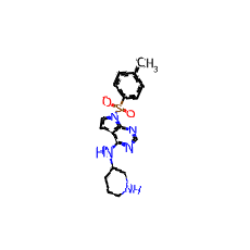 Cc1ccc(S(=O)(=O)n2ccc3c(N[C@@H]4CCCNC4)ncnc32)cc1